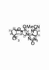 CO[C@@H]1CN(c2nc(=O)n(C)c3ccc(C#N)nc23)CC[C@H]1Oc1cccc(C(F)(F)F)c1